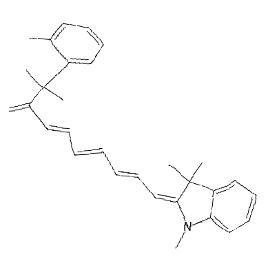 C=C(/C=C/C=C/C=C/C=C1/N(C)c2ccccc2C1(C)C)C(C)(C)c1ccccc1C